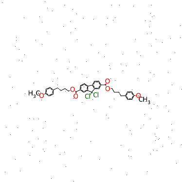 COc1ccc(CCCCOC(=O)c2ccc3c(c2)C(Cl)(Cl)c2cc(C(=O)OCCCCc4ccc(OC)cc4)ccc2-3)cc1